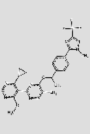 COc1ncnc(C2CC2)c1-c1ncc(C)c(OC(C)c2ccc(-c3nc(C(F)(F)F)cn3C)cc2)n1